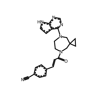 N#Cc1ccc(C=CC(=O)N2CCN(c3ncnc4[nH]ccc34)CC3(CC3)C2)cc1